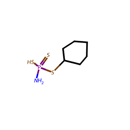 NP(=S)(S)SC1CCCCC1